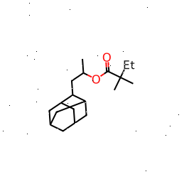 CCC(C)(C)C(=O)OC(C)CC1C2CC3CC(C2)CC1C3